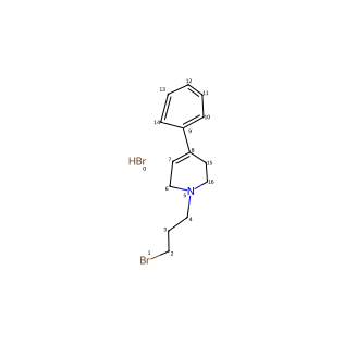 Br.BrCCCN1CC=C(c2ccccc2)CC1